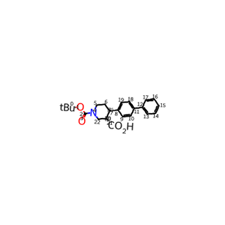 CC(C)(C)OC(=O)N1CC[C@@H](c2ccc(-c3ccccc3)cc2)[C@@H](C(=O)O)C1